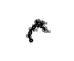 CC(C)(C)OC(=O)CCC(NC(=O)NC(Cc1ccc(NC(=O)N2CCN(C(=O)OCc3ccccc3)CC2)cc1)C(=O)OC(C)(C)C)C(=O)OC(C)(C)C